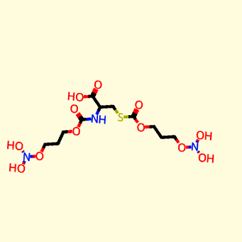 O=C(NC(CSC(=O)OCCCON(O)O)C(=O)O)OCCCON(O)O